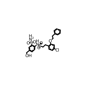 NS(=O)(=O)c1cc(CO)ccc1NS(=O)(=O)CCc1ccc(Cl)cc1OCCc1ccccc1